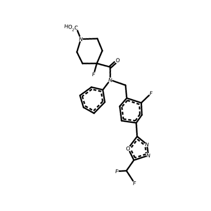 O=C(O)N1CCC(F)(C(=O)N(Cc2ccc(-c3nnc(C(F)F)o3)cc2F)c2ccccc2)CC1